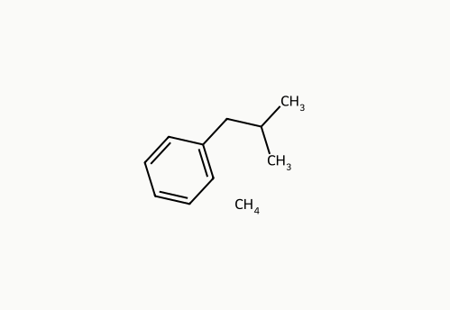 C.CC(C)Cc1ccccc1